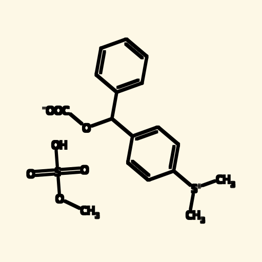 COS(=O)(=O)O.C[S+](C)c1ccc(C(OC(=O)[O-])c2ccccc2)cc1